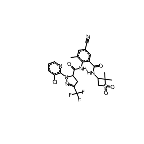 Cc1cc(C#N)cc(C(=O)NC2CS(=O)(=O)C2(C)C)c1NC(=O)C1CC(C(F)(F)F)=NN1c1ncccc1Cl